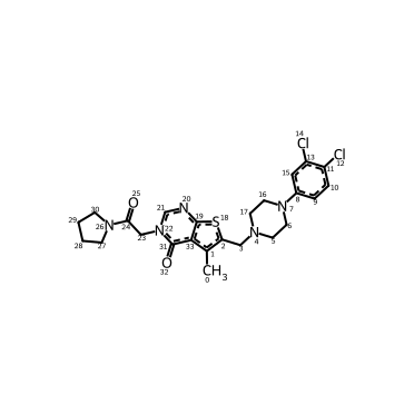 Cc1c(CN2CCN(c3ccc(Cl)c(Cl)c3)CC2)sc2ncn(CC(=O)N3CCCC3)c(=O)c12